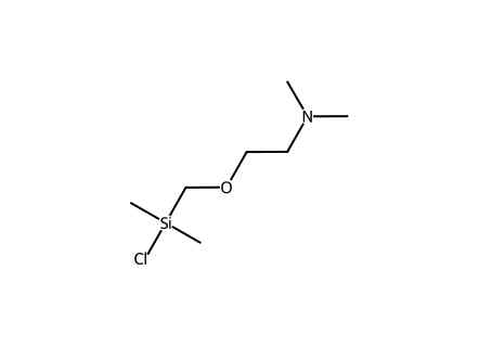 CN(C)CCOC[Si](C)(C)Cl